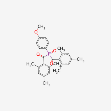 COc1ccc(P(=O)(C(=O)c2c(C)cc(C)cc2C)C(=O)c2c(C)cc(C)cc2C)cc1